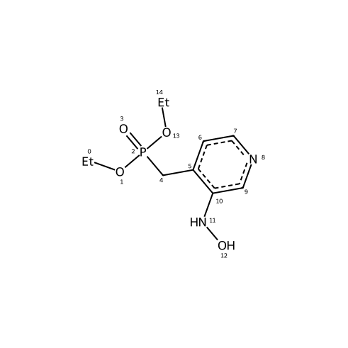 CCOP(=O)(Cc1ccncc1NO)OCC